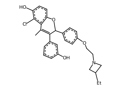 CCC1CN(CCOc2ccc(C3Oc4ccc(O)c(Cl)c4C(C)=C3c3cccc(O)c3)cc2)C1